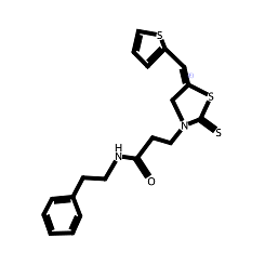 O=C(CCN1C/C(=C\c2cccs2)SC1=S)NCCc1ccccc1